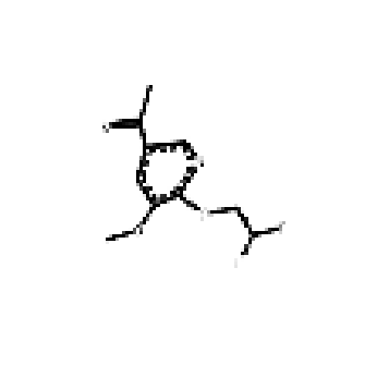 COc1cc(C(C)=O)cnc1OCC(F)F